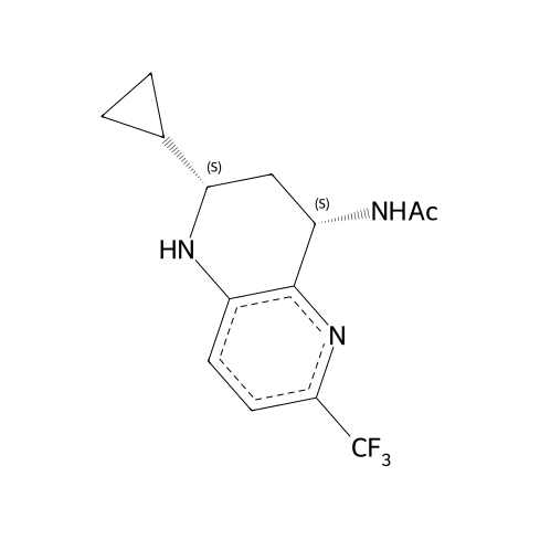 CC(=O)N[C@H]1C[C@@H](C2CC2)Nc2ccc(C(F)(F)F)nc21